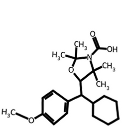 COc1ccc(C(C2CCCCC2)C2OC(C)(C)N(C(=O)O)C2(C)C)cc1